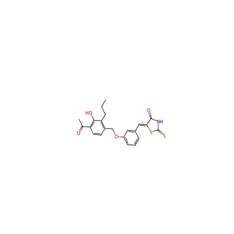 CCCc1c(COc2cccc(/C=C3\SC(=S)NC3=O)c2)ccc(C(C)=O)c1O